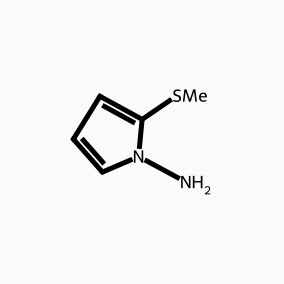 CSc1cccn1N